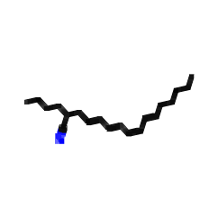 CCCCC/C=C/C=C\C=C\C=C\CC(C#N)CCCC